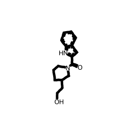 O=C(c1cc2ccccc2[nH]1)N1CCCC(CCO)C1